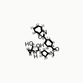 CN(C(=O)c1ccc(-c2nc3ccccc3o2)cc1)[C@@H]1CC[C@H](C(O)NC2(CO)CC2)C1